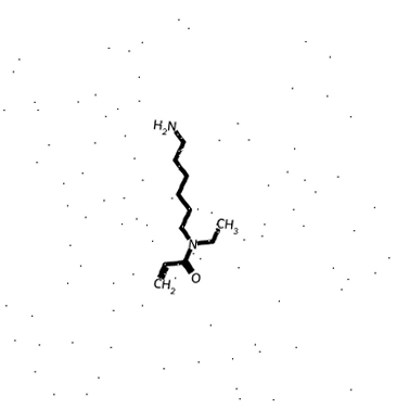 C=CC(=O)N(CC)CCCCCCN